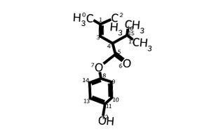 CC(C)=CC(C(=O)Oc1ccc(O)cc1)C(C)C